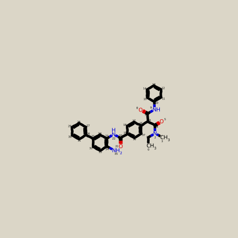 CCN(C)C(=O)C(C(=O)Nc1ccccc1)c1ccc(C(=O)Nc2cc(-c3ccccc3)ccc2N)cc1